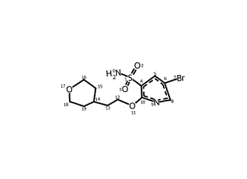 NS(=O)(=O)c1cc(Br)cnc1OCCC1CCOCC1